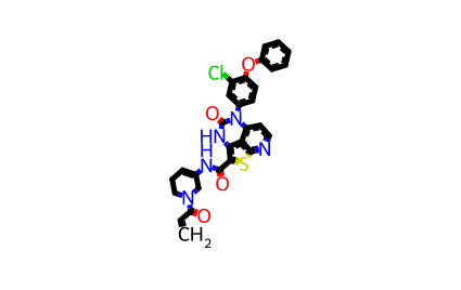 C=CC(=O)N1CCC=C(NC(=O)c2sc3nccc4c3c2NC(=O)N4c2ccc(Oc3ccccc3)c(Cl)c2)C1